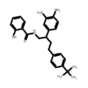 CC(C)(C)c1ccc(CCC(CNC(=O)c2ccccc2O)c2ccc(N)c(N)c2)cc1